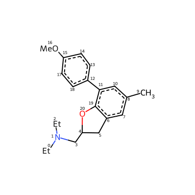 CCN(CC)CC1Cc2cc(C)cc(-c3ccc(OC)cc3)c2O1